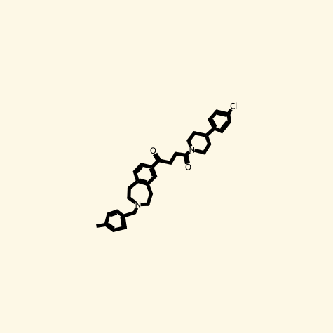 Cc1ccc(CN2CCc3ccc(C(=O)CCC(=O)N4CCC(c5ccc(Cl)cc5)CC4)cc3CC2)cc1